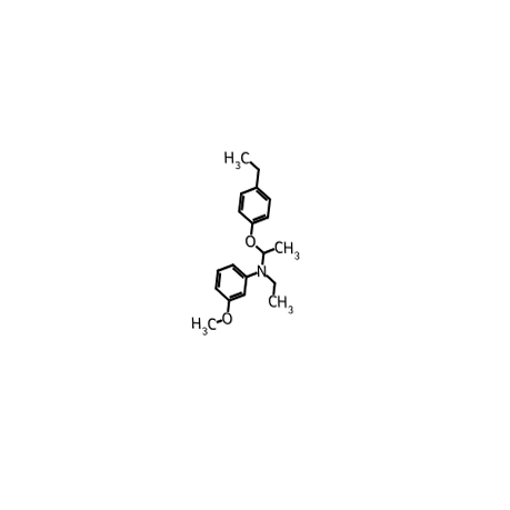 CCc1ccc(OC(C)N(CC)c2cccc(OC)c2)cc1